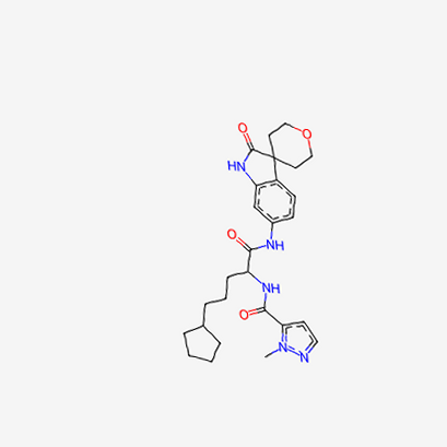 Cn1nccc1C(=O)NC(CCCC1CCCC1)C(=O)Nc1ccc2c(c1)NC(=O)C21CCOCC1